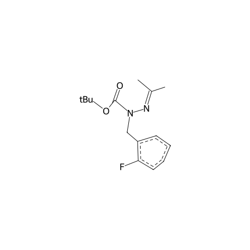 CC(C)=NN(Cc1ccccc1F)C(=O)OC(C)(C)C